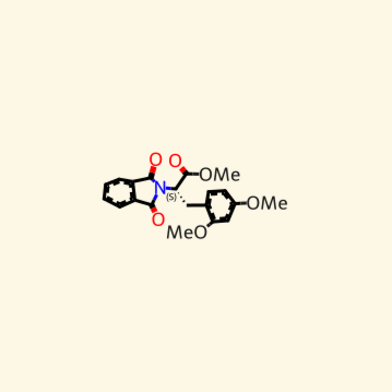 COC(=O)[C@H](Cc1ccc(OC)cc1OC)N1C(=O)c2ccccc2C1=O